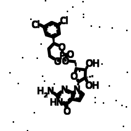 C[C@@]1(O)[C@H](O)[C@@H](CO[P@@]2(=O)OCC[C@@H](c3cc(Cl)cc(Cl)c3)O2)O[C@H]1n1ccc2c(=O)[nH]c(N)nc21